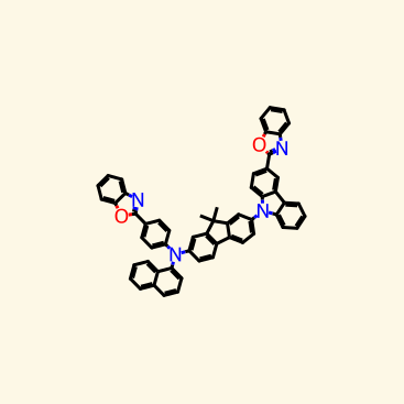 CC1(C)c2cc(N(c3ccc(-c4nc5ccccc5o4)cc3)c3cccc4ccccc34)ccc2-c2ccc(-n3c4ccccc4c4cc(-c5nc6ccccc6o5)ccc43)cc21